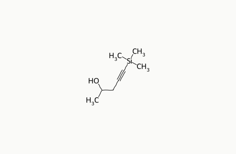 CC(O)CC#C[Si](C)(C)C